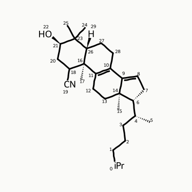 CC(C)CCC[C@@H](C)[C@H]1CC=C2C3=C(CC[C@@]21C)[C@@]1(C)C(C#N)C[C@@H](O)C(C)(C)[C@@H]1CC3